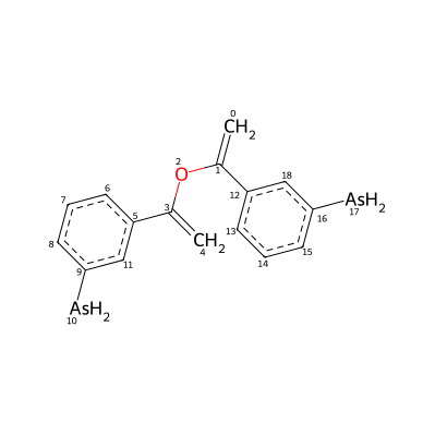 C=C(OC(=C)c1cccc([AsH2])c1)c1cccc([AsH2])c1